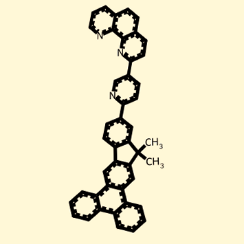 CC1(C)c2cc(-c3ccc(-c4ccc5ccc6cccnc6c5n4)cn3)ccc2-c2cc3c4ccccc4c4ccccc4c3cc21